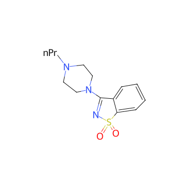 [CH2]CCN1CCN(C2=NS(=O)(=O)c3ccccc32)CC1